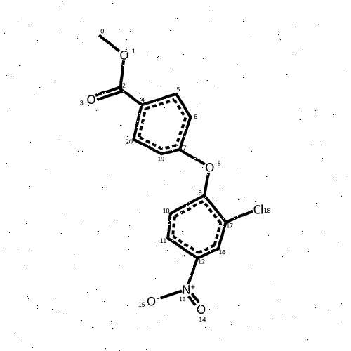 COC(=O)c1ccc(Oc2ccc([N+](=O)[O-])cc2Cl)cc1